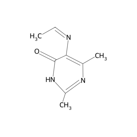 C/C=N\c1c(C)nc(C)[nH]c1=O